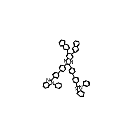 c1ccc(-n2c(-c3ccc(-c4ccc(-c5nc6cc(-c7ccc8ccccc8c7)c(-c7ccc8ccccc8c7)cc6nc5-c5ccc(-c6ccc(-c7nc8ccccc8n7-c7ccccc7)cc6)cc5)cc4)cc3)nc3ccccc32)cc1